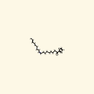 CCCCCCCC/C=C\CCCCCCCC(=O)c1nccs1